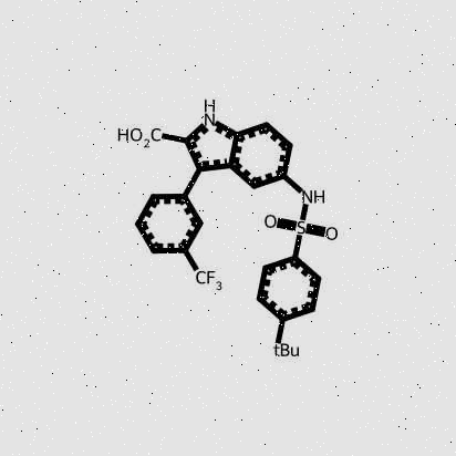 CC(C)(C)c1ccc(S(=O)(=O)Nc2ccc3[nH]c(C(=O)O)c(-c4cccc(C(F)(F)F)c4)c3c2)cc1